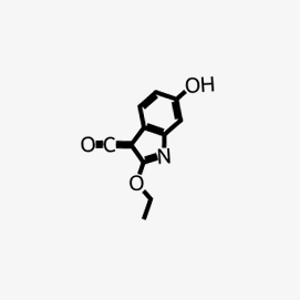 CCOC1=Nc2cc(O)ccc2C1=C=O